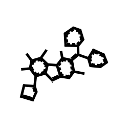 Cc1c(C)c(C2=CC=CC2)c2c(c1C)-c1c(C)c(=C(c3ccccc3)c3ccccc3)c(C)cc1=[C]2